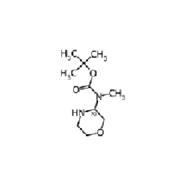 CN(C(=O)OC(C)(C)C)[C@H]1COCCN1